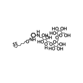 OCC1OC(OCC2OC(OCC(O)C(O)C(O)C(O)CNc3cccc(NCOCCCCC4CCSS4)c3)C(O)C(O)C2O)C(O)C(O)C1O